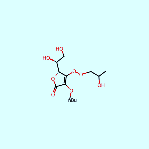 CCCCOC1=C(OOCC(C)O)[C@@H]([C@@H](O)CO)OC1=O